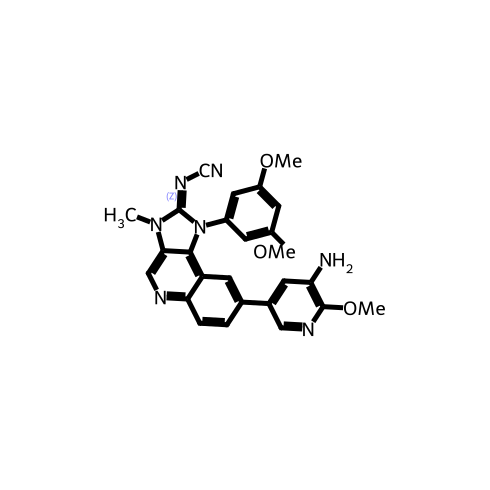 COc1cc(OC)cc(-n2/c(=N\C#N)n(C)c3cnc4ccc(-c5cnc(OC)c(N)c5)cc4c32)c1